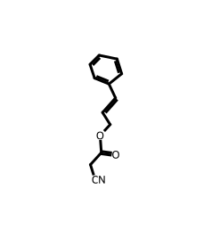 N#CCC(=O)OC/C=C/c1ccccc1